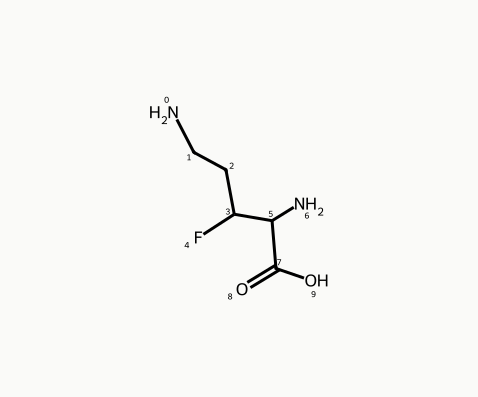 NCCC(F)C(N)C(=O)O